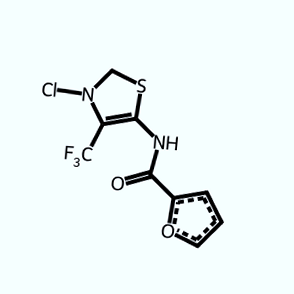 O=C(NC1=C(C(F)(F)F)N(Cl)CS1)c1ccco1